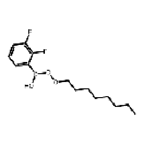 CCCCCCCCOOB(O)c1cccc(F)c1F